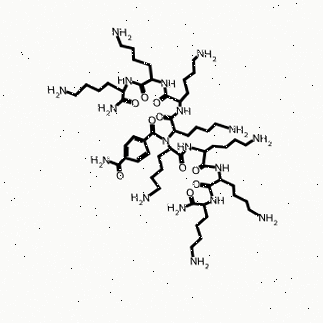 NCCCCC(NC(=O)C(CCCCN)NC(=O)C(CCCCN)NC(=O)C(CCCCN)N(C(=O)c1ccc(C(N)=O)cc1)C(CCCCN)C(=O)NC(CCCCN)C(=O)NC(CCCCN)C(=O)NC(CCCCN)C(N)=O)C(N)=O